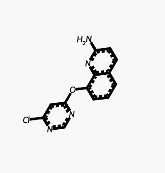 Nc1ccc2cccc(Oc3cc(Cl)ncn3)c2n1